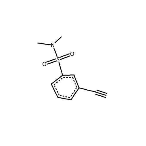 C#Cc1cccc(S(=O)(=O)N(C)C)c1